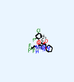 CC(C)(Oc1ccc(Cl)cc1F)C(=O)NC1CC2CCC(C1)N2c1ccc(C(=O)NCC(F)(F)F)cn1